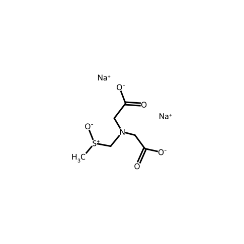 C[S+]([O-])CN(CC(=O)[O-])CC(=O)[O-].[Na+].[Na+]